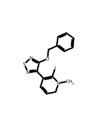 CN1CC=CC(c2nsnc2OCc2ccccc2)=C1I